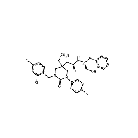 Cc1ccc(N2CC(CC(=O)O)(CC(=O)N[C@H](CO)Cc3ccccc3)CN(Cc3ccc(Cl)cc3Cl)C2=O)cc1